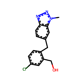 Cn1nnc2ccc(Cc3ccc(Cl)cc3CO)cc21